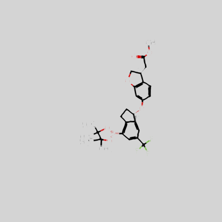 COC(=O)C[C@@H]1COc2cc(O[C@@H]3CCc4c(B5OC(C)(C)C(C)(C)O5)cc(C(F)(F)F)cc43)ccc21